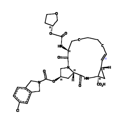 O=C(N[C@H]1CCCCC/C=C/[C@@H]2C[C@@]2(C(=O)O)NC(=O)[C@@H]2C[C@@H](OC(=O)N3Cc4ccc(Cl)cc4C3)CN2C1=O)O[C@@H]1CCOC1